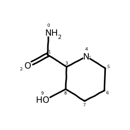 NC(=O)C1[N]CCCC1O